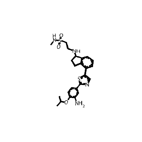 CNS(=O)(=O)CCNC1CCc2c(-c3cnc(-c4ccc(OC(C)C)c(N)c4)s3)cccc21